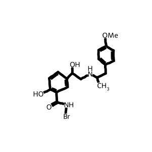 COc1ccc(CC(C)NCC(O)c2ccc(O)c(C(=O)NBr)c2)cc1